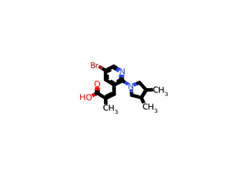 CC(=Cc1cc(Br)cnc1N1CC(C)C(C)C1)C(=O)O